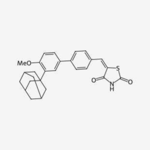 COc1ccc(-c2ccc(C=C3SC(=O)NC3=O)cc2)cc1C12CC3CC(CC(C3)C1)C2